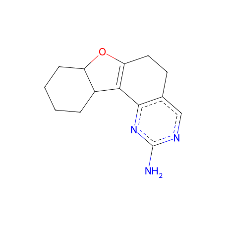 Nc1ncc2c(n1)C1=C(CC2)OC2CCCCC12